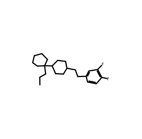 CCCC1(C2CCC(CCc3ccc(F)c(F)c3)CC2)CCCCC1